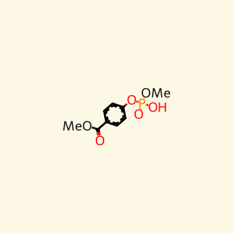 COC(=O)c1ccc(OP(=O)(O)OC)cc1